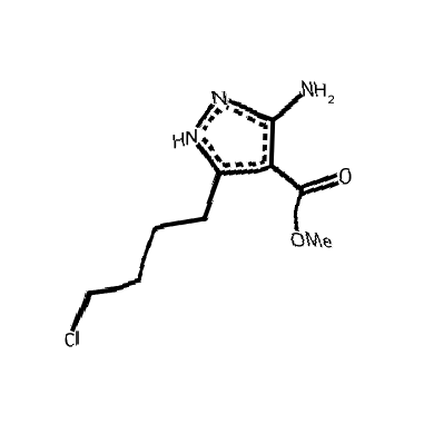 COC(=O)c1c(N)n[nH]c1CCCCCl